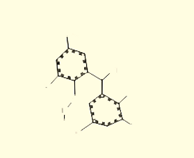 CC(c1cc(C(C)(C)C)cc(C(C)(C)C)c1O)c1cc(C(C)(C)C)cc(C(C)(C)C)c1OPCl